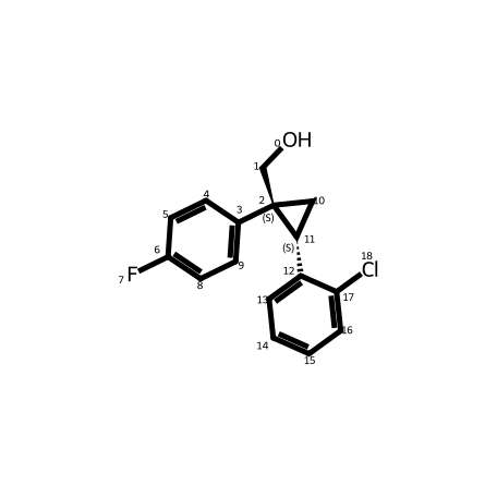 OC[C@@]1(c2ccc(F)cc2)C[C@@H]1c1ccccc1Cl